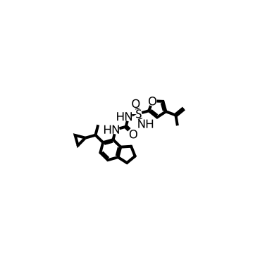 C=C(C)c1coc([S@](=N)(=O)NC(=O)Nc2c(C(C)C3CC3)ccc3c2CCC3)c1